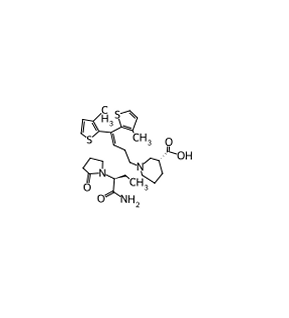 CC[C@@H](C(N)=O)N1CCCC1=O.Cc1ccsc1C(=CCCN1CCC[C@@H](C(=O)O)C1)c1sccc1C